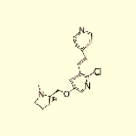 CN1CCC[C@@H]1COc1cnc(Cl)c(C=Cc2ccncc2)c1